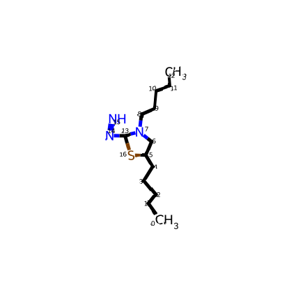 CCCCCC1CN(CCCCC)C(N=N)S1